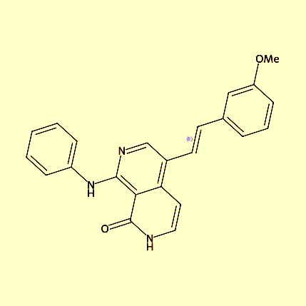 COc1cccc(/C=C/c2cnc(Nc3ccccc3)c3c(=O)[nH]ccc23)c1